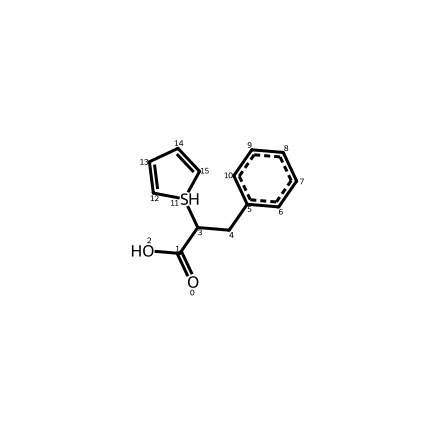 O=C(O)C(Cc1ccccc1)[SH]1C=CC=C1